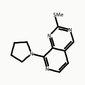 CSc1ncc2ccnc(N3CCCC3)c2n1